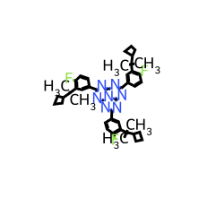 CC(C)(c1cc(C2=NC3=NC(c4ccc(F)c(C(C)(C)C5CCC5)c4)=NC4=NC(c5ccc(F)c(C(C)(C)C6CCC6)c5)=NC(=N2)N34)ccc1F)C1CCC1